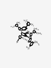 Cc1cc(C)cc(-c2ccc3c(c2)c2cc(-c4cc(C)cc(C)c4)ccc2n3-c2cc(-c3ccc(C#N)cc3C)cc(-n3c4ccc(-c5cc(C)cc(C)c5)cc4c4cc(-c5cc(C)cc(C)c5)ccc43)c2C#N)c1